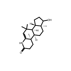 CC1(C)C=C2NC(=O)CC[C@]2(C)[C@@H]2CC[C@]3(C)C(O)CC[C@H]3[C@@H]21